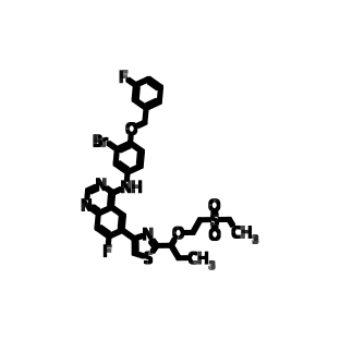 CCC(OCCS(=O)(=O)CC)c1nc(-c2cc3c(Nc4ccc(OCc5cccc(F)c5)c(Br)c4)ncnc3cc2F)cs1